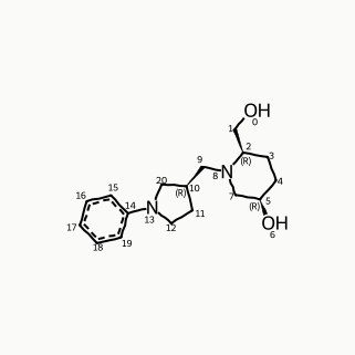 OC[C@H]1CC[C@@H](O)CN1C[C@H]1CCN(c2ccccc2)C1